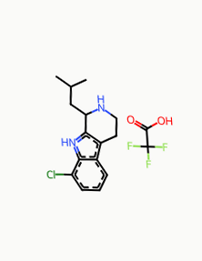 CC(C)CC1NCCc2c1[nH]c1c(Cl)cccc21.O=C(O)C(F)(F)F